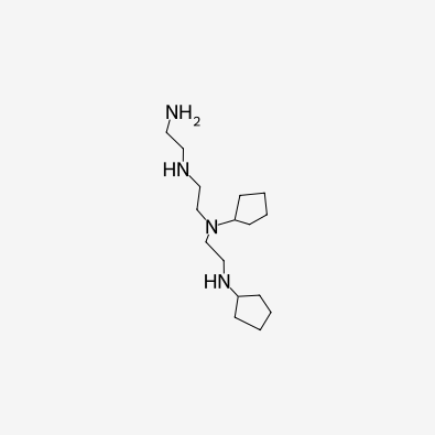 NCCNCCN(CCNC1CCCC1)C1CCCC1